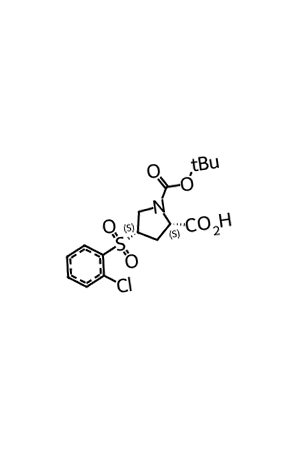 CC(C)(C)OC(=O)N1C[C@@H](S(=O)(=O)c2ccccc2Cl)C[C@H]1C(=O)O